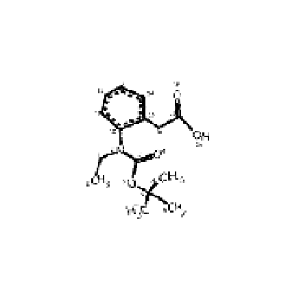 CCN(C(=O)OC(C)(C)C)c1ccccc1CC(=O)O